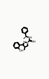 CC1CN(C(=N)N[C@@H](C)c2ccccc2)N=C1c1ccccc1O